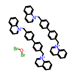 BrOBr.c1ccc2c(c1)ccc[n+]2Cc1ccc(-c2ccc(C[n+]3cccc4ccccc43)cc2)cc1.c1ccc2c(c1)ccc[n+]2Cc1ccc(-c2ccc(C[n+]3cccc4ccccc43)cc2)cc1